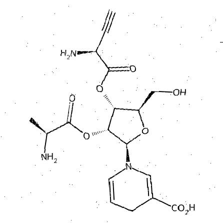 C#C[C@H](N)C(=O)O[C@H]1[C@@H](OC(=O)[C@H](C)N)[C@H](N2C=CCC(C(=O)O)=C2)O[C@@H]1CO